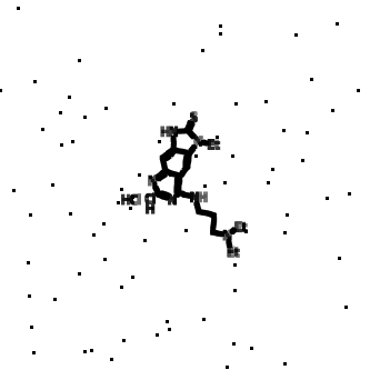 CCN(CC)CCCNc1ncnc2cc3[nH]c(=S)n(CC)c3cc12.Cl.Cl